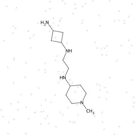 CN1CCC(NCCNC2CC(N)C2)CC1